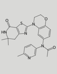 CC(=O)N(c1ccc(C)nc1)c1ccc2c(c1)N(c1nc3c(s1)C(=O)NC(C)(C)C3)CCO2